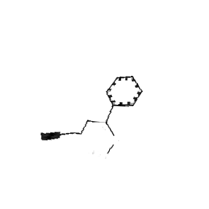 C#CCC[C@H](OCCCCCC)c1ccccc1